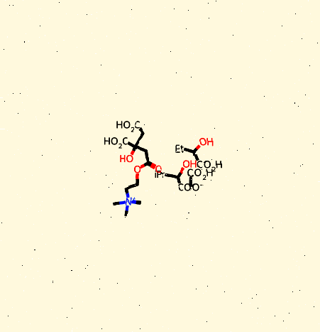 CC(=O)O.CC(C)C(O)C(=O)[O-].CCC(O)C(=O)O.C[N+](C)(C)CCOC(=O)CC(O)(CC(=O)O)C(=O)O